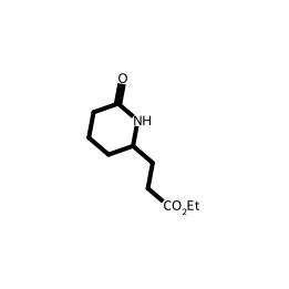 CCOC(=O)CCC1CCCC(=O)N1